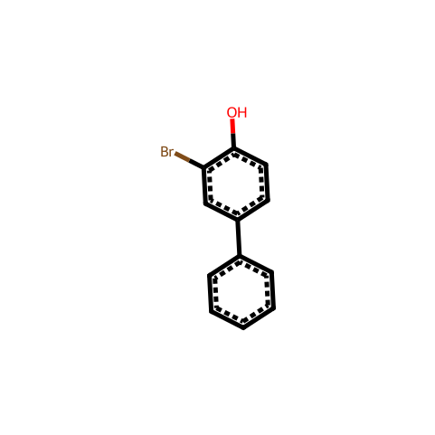 Oc1ccc(-c2ccccc2)cc1Br